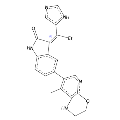 CC/C(=C1/C(=O)Nc2ccc(-c3cnc4c(c3C)NCCO4)cc21)c1cnc[nH]1